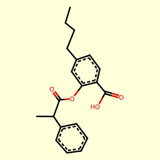 CCCCc1ccc(C(=O)O)c(OC(=O)C(C)c2ccccc2)c1